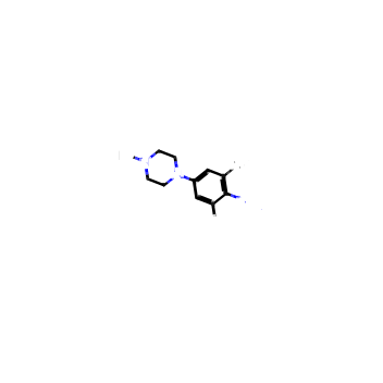 CCN1CCN(c2cc(C)c(N)c([N+](=O)[O-])c2)CC1